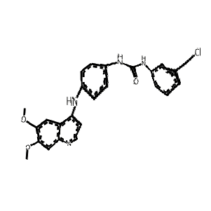 COc1cc2nccc(Nc3ccc(NC(=O)Nc4cccc(Cl)c4)cc3)c2cc1OC